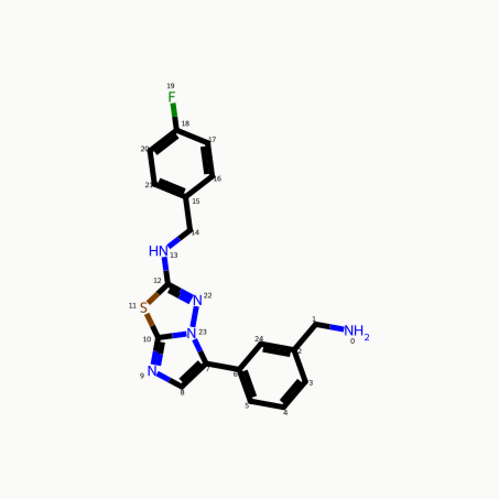 NCc1cccc(-c2cnc3sc(NCc4ccc(F)cc4)nn23)c1